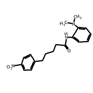 CN(C)c1ccccc1NC(=O)CCCCc1ccc([N+](=O)[O-])cc1